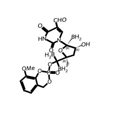 BC(B)(OP1(=O)OCc2cccc(OC)c2O1)[C@]1(F)C[C@@H](O)[C@](B)(n2cc(C=O)c(=O)[nH]c2=O)O1